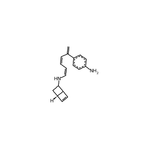 C=C(/C=C\C=C/NC1C[C@H]2C=CC12)c1ccc(N)cc1